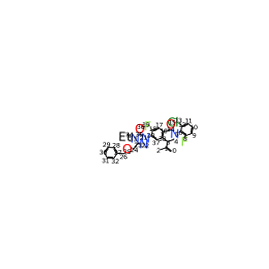 C=C(C)C1CN(c2c(F)cccc2Cl)C(=O)c2cc(F)c(-n3nc(COCc4ccccc4)n(CC)c3=O)cc21